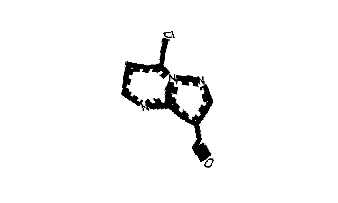 O=Cc1cnn2c(Cl)ccnc12